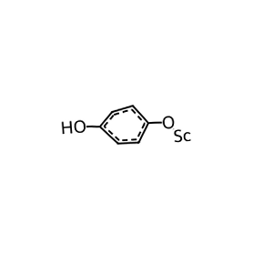 Oc1ccc([O][Sc])cc1